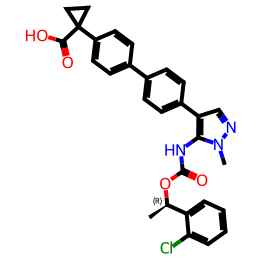 C[C@@H](OC(=O)Nc1c(-c2ccc(-c3ccc(C4(C(=O)O)CC4)cc3)cc2)cnn1C)c1ccccc1Cl